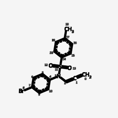 C=C=CN(c1ccc(Br)cc1)S(=O)(=O)c1ccc(C)cc1